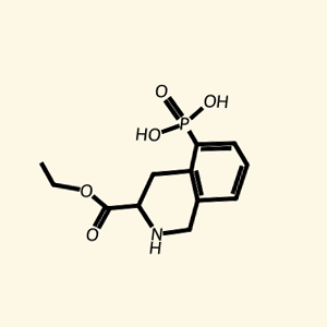 CCOC(=O)C1Cc2c(cccc2P(=O)(O)O)CN1